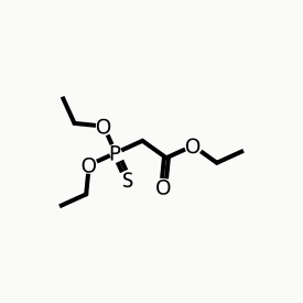 CCOC(=O)CP(=S)(OCC)OCC